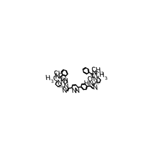 CN(C)[C@@H](C(=O)N1CCC[C@H]1c1ncc(-c2ccc(-c3ccc(-c4cnc([C@@H]5CCCN5C(=O)[C@@H](c5ccccc5)N(C)C)[nH]4)nn3)cc2)[nH]1)c1ccccc1